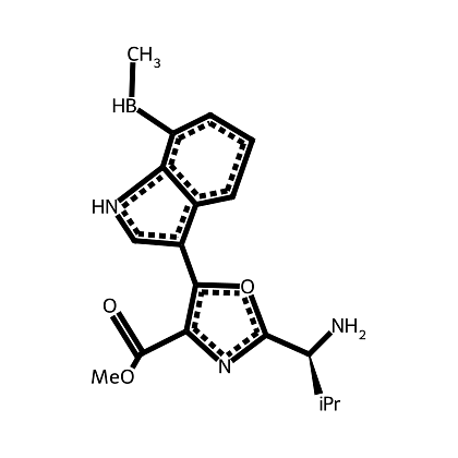 CBc1cccc2c(-c3oc([C@@H](N)C(C)C)nc3C(=O)OC)c[nH]c12